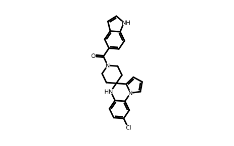 O=C(c1ccc2[nH]ccc2c1)N1CCC2(CC1)Nc1ccc(Cl)cc1-n1cccc12